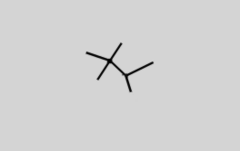 C[C]([SiH3])C(C)(C)C